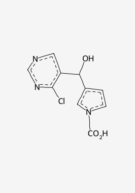 O=C(O)n1ccc(C(O)c2cncnc2Cl)c1